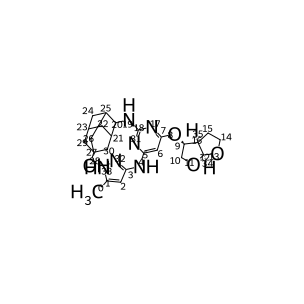 Cc1cc(Nc2cc(O[C@@H]3CO[C@@H]4OCC[C@@H]43)nc(NC3C4CC5CC3CC(O)(C5)C4)n2)n[nH]1